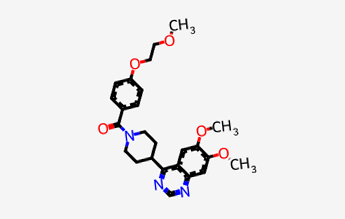 COCCOc1ccc(C(=O)N2CCC(c3ncnc4cc(OC)c(OC)cc34)CC2)cc1